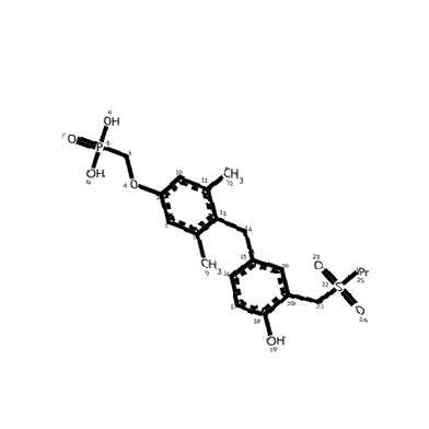 Cc1cc(OCP(=O)(O)O)cc(C)c1Cc1ccc(O)c(CS(=O)(=O)C(C)C)c1